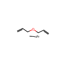 C=CCOCC=C.CCCC